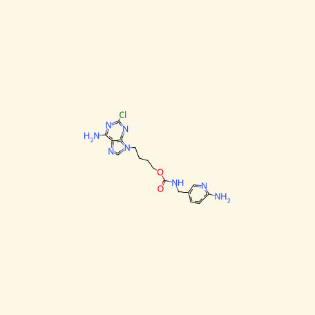 Nc1ccc(CNC(=O)OCCCCn2cnc3c(N)nc(Cl)nc32)cn1